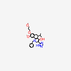 COCCCOc1cc2c(cc1OC)C1=C(C(O)=C(c3ncn[nH]3)CN1Cc1ccccc1)C(C(C)C)C2